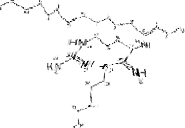 CCC=C(CCCCCCCCCCCC)NC(CCCNC(=N)N)C(=N)NCCCCCC